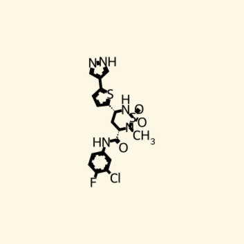 CN1[C@H](C(=O)Nc2ccc(F)c(Cl)c2)C[C@H](c2ccc(-c3cn[nH]c3)s2)NS1(=O)=O